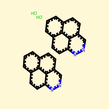 Cl.Cl.c1cc2ccc3cnnc4ccc(c1)c2c34.c1cc2ccc3cnnc4ccc(c1)c2c34